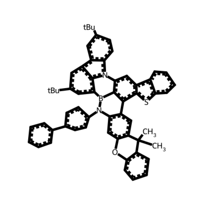 CC(C)(C)c1ccc2c(c1)c1cc(C(C)(C)C)cc3c1n2-c1cc2c(sc4ccccc42)c2c1B3N(c1ccc(-c3ccccc3)cc1)c1cc3c(cc1-2)C(C)(C)c1ccccc1O3